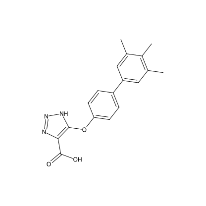 Cc1cc(-c2ccc(Oc3[nH]nnc3C(=O)O)cc2)cc(C)c1C